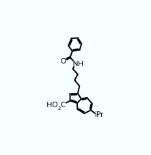 CC(C)c1ccc2c(CCCCNC(=O)c3ccccc3)cc(C(=O)O)c-2cc1